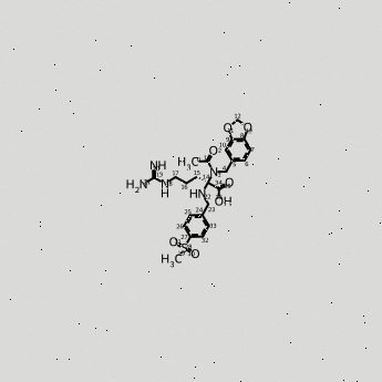 CC(=O)N(Cc1ccc2c(c1)OCO2)[C@](CCCNC(=N)N)(NCc1ccc(S(C)(=O)=O)cc1)C(=O)O